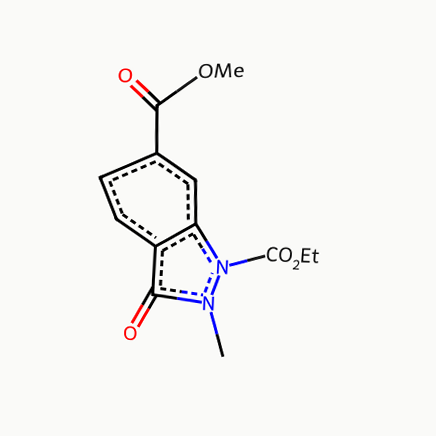 CCOC(=O)n1c2cc(C(=O)OC)ccc2c(=O)n1C